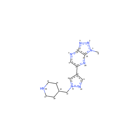 Cn1nnc2ncc(-c3cnn(CC4CCNCC4)c3)nc21